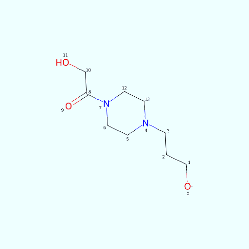 [O]CCCN1CCN(C(=O)CO)CC1